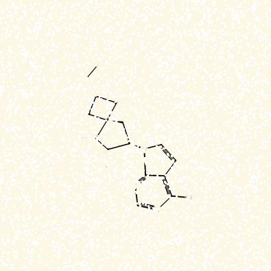 Nc1ncnc2c1ccn2[C@@H]1C[C@]2(C[C@H](CO)C2)[C@@H](O)[C@H]1O